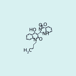 C=CCCn1c(=O)c(C2=NS(=O)(=O)c3ccccc3N2)c(O)c2ccccc21